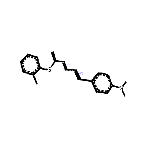 C=C(/C=C/C=C/c1ccc(N(C)C)cc1)Sc1ccccc1C